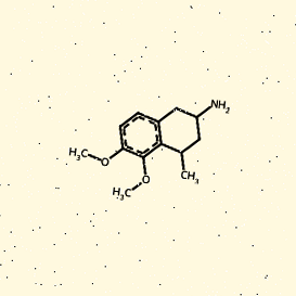 COc1ccc2c(c1OC)C(C)CC(N)C2